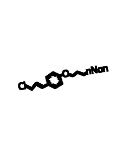 CCCCCCCCCCCCOc1ccc(C=CCCl)cc1